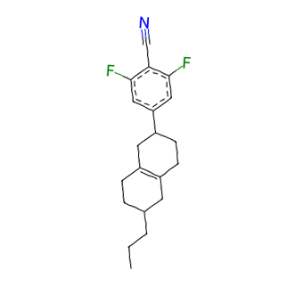 CCCC1CCC2=C(CCC(c3cc(F)c(C#N)c(F)c3)C2)C1